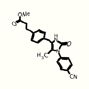 COC(=O)CCc1ccc(-c2[nH]c(=O)n(-c3ccc(C#N)cc3)c2C)cc1